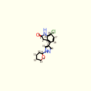 O=C1Cc2c(-c3cnn(C4CCCCO4)c3)ccc(Cl)c2N1